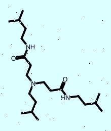 CC(C)CCNC(=O)CCN(CCC(=O)NCCC(C)C)CCC(C)C